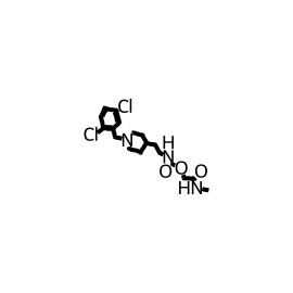 CNC(=O)COC(=O)NCCC1CCN(Cc2cc(Cl)ccc2Cl)CC1